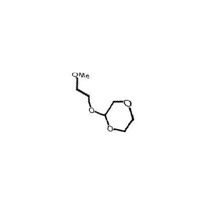 COCCOC1COCCO1